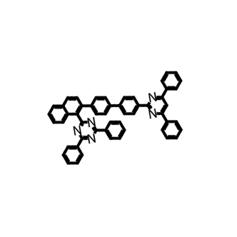 c1ccc(-c2cc(-c3ccccc3)nc(-c3ccc(-c4ccc(-c5ccc6ccccc6c5-c5nc(-c6ccccc6)nc(-c6ccccc6)n5)cc4)cc3)n2)cc1